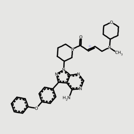 CN(C/C=C/C(=O)N1CCCC(n2nc(-c3ccc(Oc4ccccc4)cc3)c3c(N)ncnc32)C1)C1CCOCC1